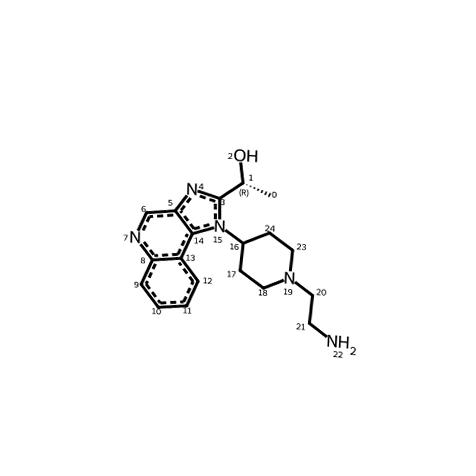 C[C@@H](O)c1nc2cnc3ccccc3c2n1C1CCN(CCN)CC1